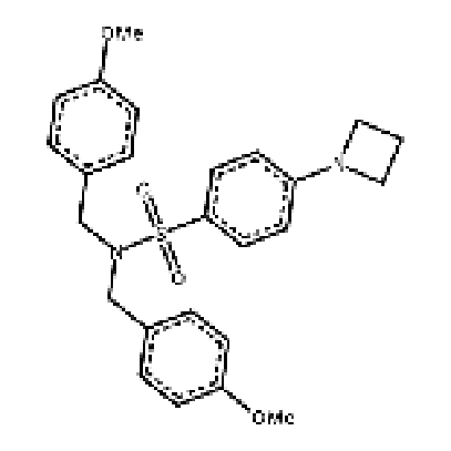 COc1ccc(CN(Cc2ccc(OC)cc2)S(=O)(=O)c2ccc(N3CCC3)cc2)cc1